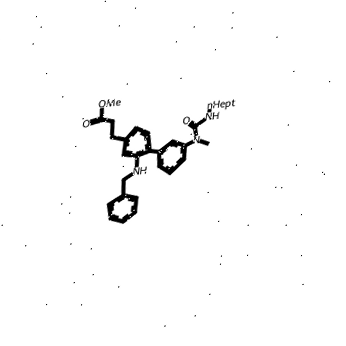 CCCCCCCNC(=O)N(C)c1cccc(-c2ccc(CCC(=O)OC)cc2NCc2ccccc2)c1